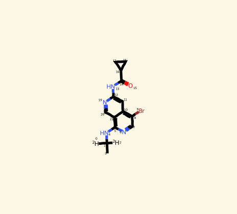 [2H]C([2H])(C)Nc1ncc(Br)c2cc(NC(=O)C3CC3)ncc12